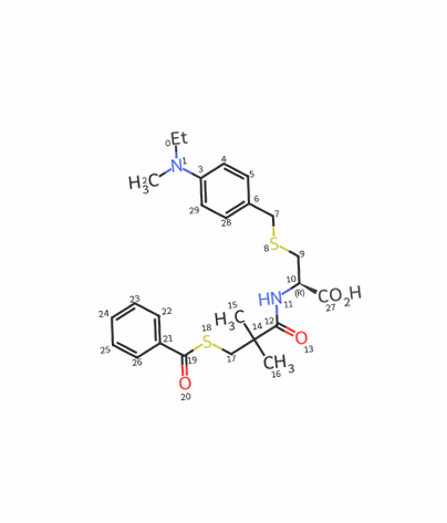 CCN(C)c1ccc(CSC[C@H](NC(=O)C(C)(C)CSC(=O)c2ccccc2)C(=O)O)cc1